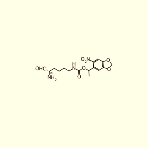 CC(OC(=O)NCCCC[C@H](N)C=O)c1cc2c(cc1[N+](=O)[O-])OCO2